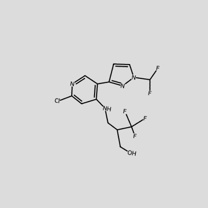 OCC(CNc1cc(Cl)ncc1-c1ccn(C(F)F)n1)C(F)(F)F